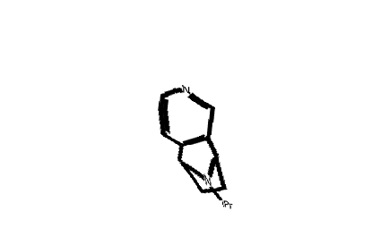 CC(C)N1C2CCC1c1cnccc12